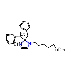 CCCCCCCCCCCCCCCN1C=CN(CC)C1(Cc1ccccc1)C(CC)c1ccccc1